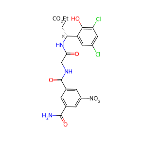 CCOC(=O)C[C@@H](NC(=O)CNC(=O)c1cc(C(N)=O)cc([N+](=O)[O-])c1)c1cc(Cl)cc(Cl)c1O